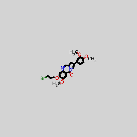 COc1ccc(C2=CN3C(=O)c4cc(OC)c(OCCCBr)cc4N=CC3C2)cc1OC